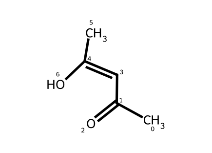 CC(=O)C=C(C)O